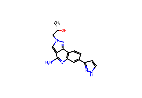 C[C@H](O)Cn1cc2c(N)nc3cc(-c4cc[nH]n4)ccc3c2n1